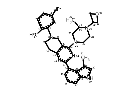 Cc1ccc(C(C)C)cc1N1CCc2nc(-c3cccc4[nH]cc(C)c34)nc(N3CCN(C4COC4)[C@H](C)C3)c2C1